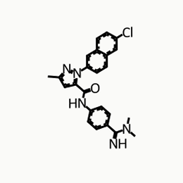 Cc1cc(C(=O)Nc2ccc(C(=N)N(C)C)cc2)n(-c2ccc3cc(Cl)ccc3c2)n1